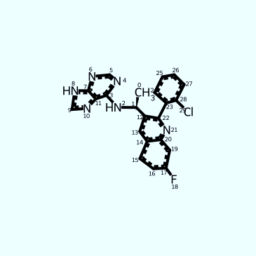 C[C@H](Nc1ncnc2[nH]cnc12)c1cc2ccc(F)cc2nc1-c1ccccc1Cl